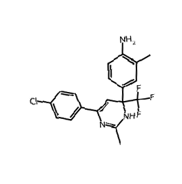 CC1=NC(c2ccc(Cl)cc2)=CC(c2ccc(N)c(C)c2)(C(F)(F)F)N1